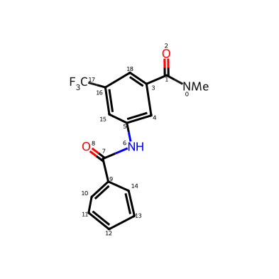 CNC(=O)c1cc(NC(=O)c2ccccc2)cc(C(F)(F)F)c1